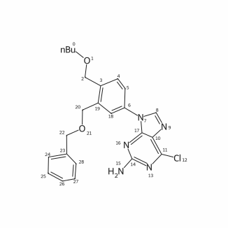 CCCCOCc1ccc(-n2cnc3c(Cl)nc(N)nc32)cc1COCc1ccccc1